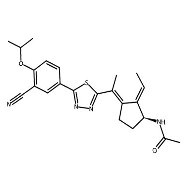 C/C=C1\C(=C(/C)c2nnc(-c3ccc(OC(C)C)c(C#N)c3)s2)CC[C@@H]1NC(C)=O